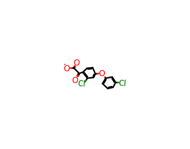 COC(=O)C(=O)c1ccc(Oc2cccc(Cl)c2)cc1Cl